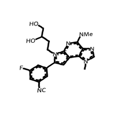 [C-]#[N+]c1cc(F)cc(-c2cc3c4c(ncn4C)c(NC)nc3n2CCC(O)CO)c1